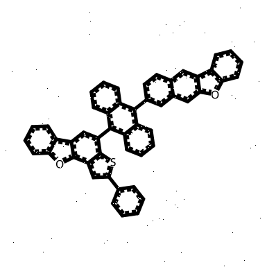 c1ccc(-c2cc3c(s2)c(-c2c4ccccc4c(-c4ccc5cc6c(cc5c4)oc4ccccc46)c4ccccc24)cc2c4ccccc4oc32)cc1